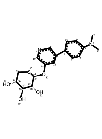 CN(C)c1ccc(-c2cncc(O[C@@H]3SC[C@@H](O)[C@H](O)[C@H]3O)c2)cc1